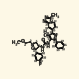 COCCN1C[C@@H](NC(=O)Nc2c(C)c(-c3ccn4c(C)nnc4c3)nn2-c2ccccc2)[C@H](c2ccc(F)cc2)O1